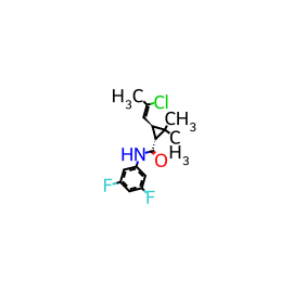 C/C(Cl)=C/[C@@H]1[C@@H](C(=O)Nc2cc(F)cc(F)c2)C1(C)C